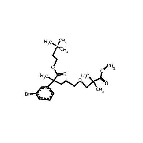 COC(=O)C(C)(C)COCCCC(C)(C(=O)OCC[Si](C)(C)C)c1cccc(Br)c1